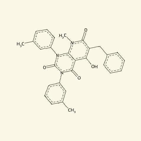 Cc1cccc(-n2c(=O)c3c(O)c(Cc4ccccc4)c(=O)n(C)c3n(-c3cccc(C)c3)c2=O)c1